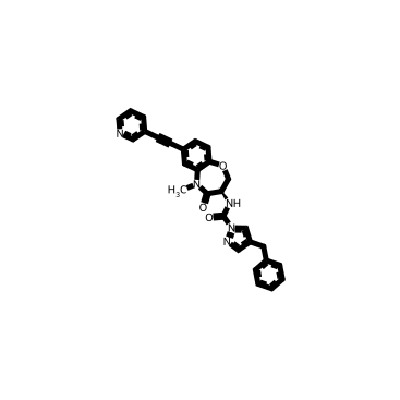 CN1C(=O)[C@H](NC(=O)n2cc(Cc3ccccc3)cn2)COc2ccc(C#Cc3cccnc3)cc21